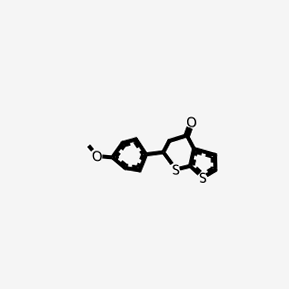 COc1ccc(C2CC(=O)c3ccsc3S2)cc1